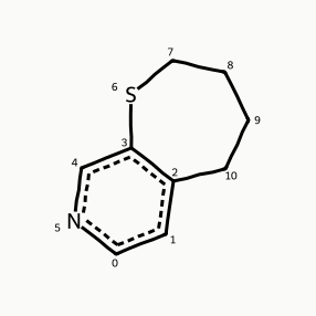 c1cc2c(cn1)SCCCC2